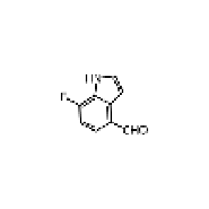 O=Cc1ccc(F)c2[nH]ccc12